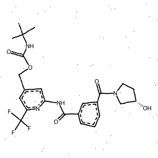 CC(C)(C)NC(=O)OCc1cc(NC(=O)c2cccc(C(=O)N3CC[C@H](O)C3)c2)nc(C(F)(F)F)c1